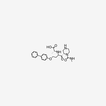 CNC(=O)N1CCNC[C@H]1C(=O)C(CCOc1ccc(-c2ccccc2)cc1)N[C@H](C)C(=O)O